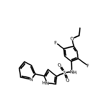 CCOc1cc(F)c(NS(=O)(=O)c2c[nH]c(-c3ccccn3)c2)cc1F